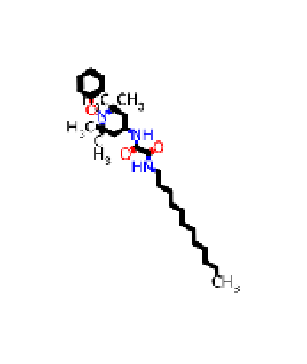 CCCCCCCCCCCCNC(=O)C(=O)NC1CC(C)(C)N(Oc2ccccc2)C(C)(C)C1